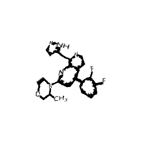 CC1COCCN1c1cc(-c2cccc(F)c2F)c2ccnc(-c3ccn[nH]3)c2n1